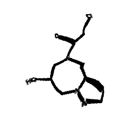 O=C(CCl)N1Cc2ccnn2CC(O)C1